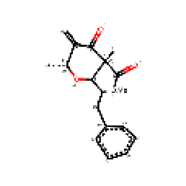 C=C1C(=O)[C@](C)(C(=O)OC)C(CCc2ccccc2)O[C@@H]1C